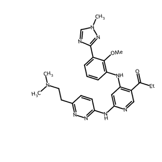 CCC(=O)c1cnc(Nc2ccc(CCN(C)C)nn2)cc1Nc1cccc(-c2ncn(C)n2)c1OC